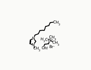 CCCCCCCCN1C=CN(C)C1.C[N+](C)(C)CCO.[Br-]